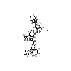 Cc1nn(C2CC3CCC(C2)N3C)cc1Nc1ncc(C2CC2)c(NCCCN2CCOCC(C)(C)C2=O)n1